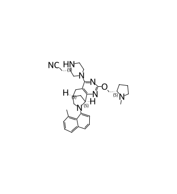 Cc1cccc2cccc(N3C[C@H]4Cc5c(nc(OC[C@@H]6CCCN6C)nc5N5CCN[C@@H](CC#N)C5)[C@@H]3C4)c12